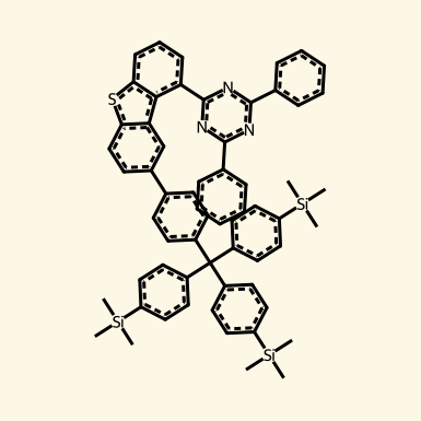 C[Si](C)(C)c1ccc(C(c2ccc(-c3ccc4sc5cccc(-c6nc(-c7ccccc7)nc(-c7ccccc7)n6)c5c4c3)cc2)(c2ccc([Si](C)(C)C)cc2)c2ccc([Si](C)(C)C)cc2)cc1